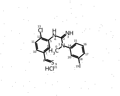 CN(C(=N)Nc1cc(C=S)ccc1Cl)c1cccc(I)c1.Cl